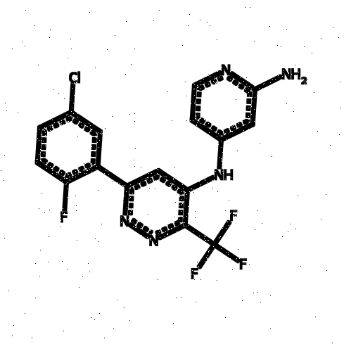 Nc1cc(Nc2cc(-c3cc(Cl)ccc3F)nnc2C(F)(F)F)ccn1